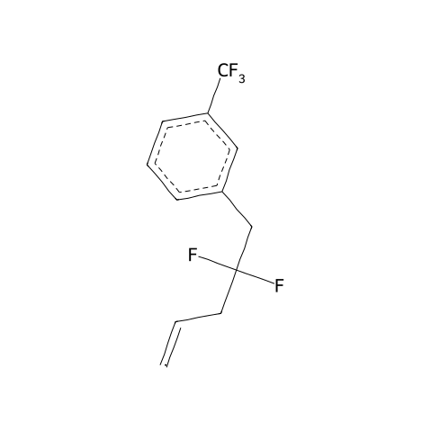 [CH]=CCC(F)(F)Cc1cccc(C(F)(F)F)c1